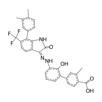 Cc1ccc(-c2c(C(F)(F)F)ccc3c2NC(=O)C3=NNc2cccc(-c3ccc(C(=O)O)c(C)c3)c2O)cc1C